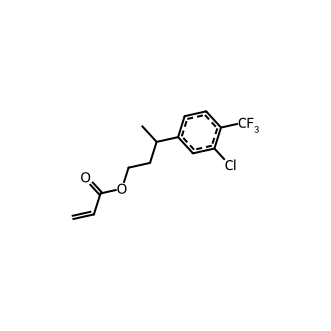 C=CC(=O)OCCC(C)c1ccc(C(F)(F)F)c(Cl)c1